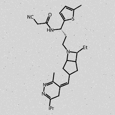 CCC1C2CC(/C=C3/CC(C(C)C)=NN=C3C)CC2N1CC[C@H](NC(=O)CC#N)c1ccc(C)s1